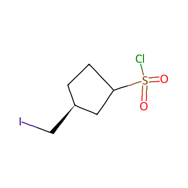 O=S(=O)(Cl)C1CC[C@H](CI)C1